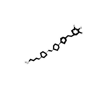 CCCCC[C@H]1CC[C@H](CC[C@H]2CC[C@H](c3ccc(CCc4cc(F)c(Cl)c(F)c4)cc3)CC2)CC1